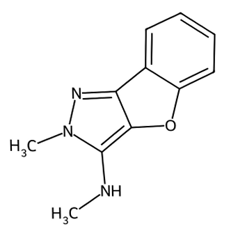 CNc1c2oc3ccccc3c2nn1C